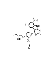 CC[C@@H](O)COc1ccc(-c2nc(C)nc3[nH]c4c(NC)cc(F)cc4c23)cc1OCC#N